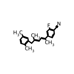 C/C(=C\C=C(/C)c1ccc(C#N)c(F)c1)Cc1cc(C)ccc1C